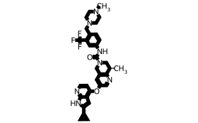 C[C@H]1CN(C(=O)Nc2ccc(CN3CCN(C)CC3)c(C(F)(F)F)c2)Cc2cc(Oc3ccnc4[nH]c(C5CC5)cc34)cnc21